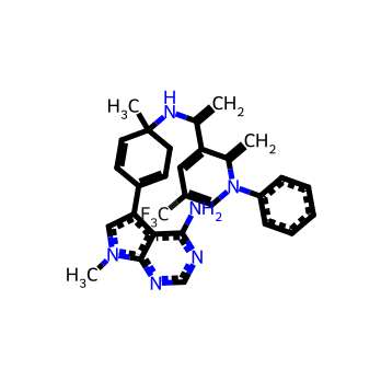 C=C(NC1(C)C=CC(c2cn(C)c3ncnc(N)c23)=CC1)C1=CC(C(F)(F)F)=CN(c2ccccc2)C1=C